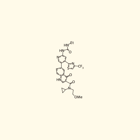 CCNC(=O)Nc1cc(-c2nc(C(F)(F)F)cs2)c(-c2ccc3[nH]cc(C(=O)N(CCOC)C4CC4)c(=O)c3c2)cn1